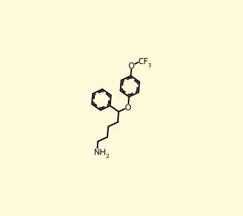 NCCCCC(Oc1ccc(OC(F)(F)F)cc1)c1ccccc1